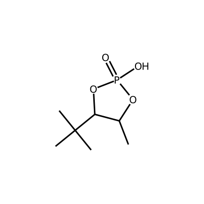 CC1OP(=O)(O)OC1C(C)(C)C